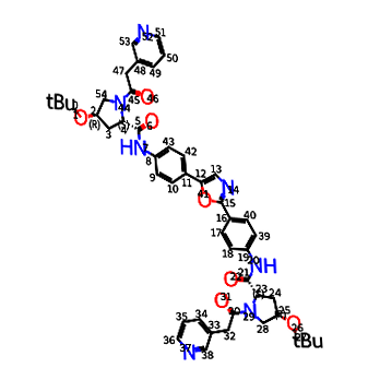 CC(C)(C)O[C@@H]1C[C@@H](C(=O)Nc2ccc(-c3cnc(-c4ccc(NC(=O)[C@@H]5C[C@@H](OC(C)(C)C)CN5C(=O)Cc5cccnc5)cc4)o3)cc2)N(C(=O)Cc2cccnc2)C1